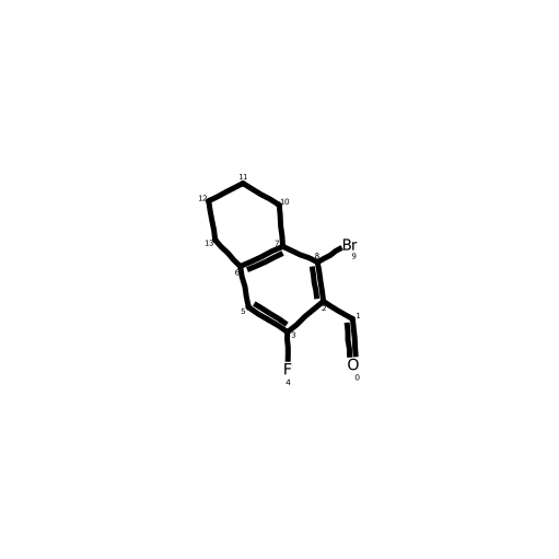 O=Cc1c(F)cc2c(c1Br)CCCC2